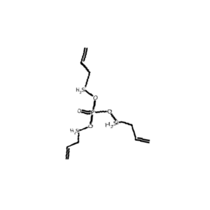 C=CC[SiH2]OP(=O)(O[SiH2]CC=C)O[SiH2]CC=C